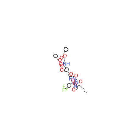 CCCCCC(C(=O)NCNC(=O)c1ccc(-c2ccc(C(=O)NC(CC(=O)OCc3ccccc3)C(=O)OCc3ccccc3)c(OCC)c2)o1)C(CC)N(C=O)OC(=O)c1ccc(C(F)(F)F)cc1